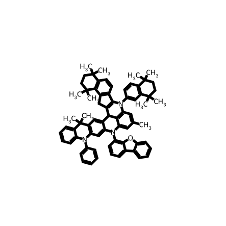 Cc1cc2c3c(c1)N(c1cccc4c1oc1ccccc14)c1cc4c(cc1C3C1=C(c3ccc5c(c3C1)C(C)(C)CCC5(C)C)N2c1ccc2c(c1)C(C)(C)CCC2(C)C)C(C)(C)c1ccccc1N4c1ccccc1